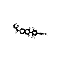 CC#Cc1cc(C)c(C2C(=O)CC3(CCN(C(=O)c4ccon4)CC3)CC2=O)c(C)c1